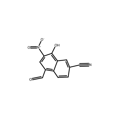 N#Cc1ccc2c(C=O)cc([N+](=O)[O-])c(O)c2c1